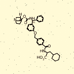 O=C(N[C@@H](c1ccccc1)c1cccc(OCc2ccc(C(=O)NC(CC3CCCCC3)C(=O)O)cc2)c1)O[C@H]1CN2CCC1CC2